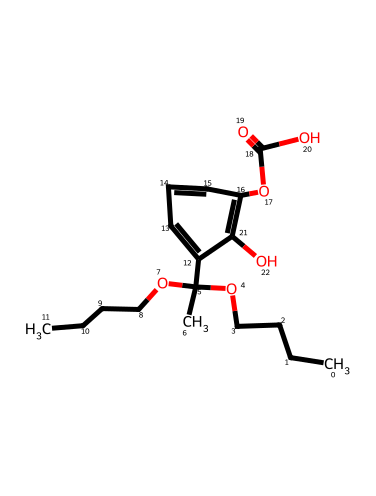 CCCCOC(C)(OCCCC)c1cccc(OC(=O)O)c1O